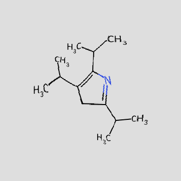 CC(C)C1=NC(C(C)C)=C(C(C)C)C1